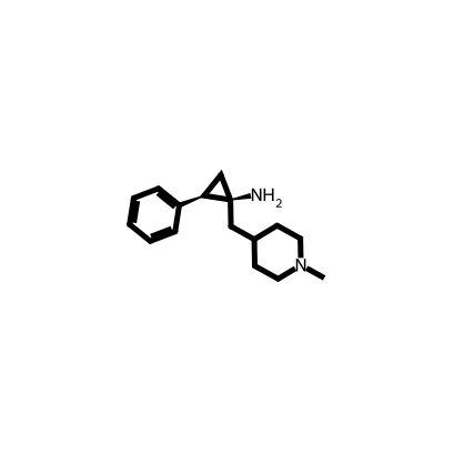 CN1CCC(C[C@@]2(N)C[C@@H]2c2ccccc2)CC1